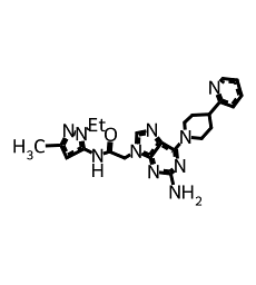 CCn1nc(C)cc1NC(=O)Cn1cnc2c(N3CCC(c4ccccn4)CC3)nc(N)nc21